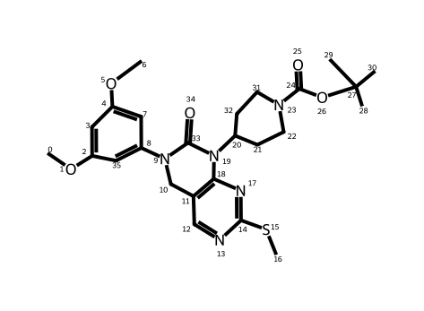 COc1cc(OC)cc(N2Cc3cnc(SC)nc3N(C3CCN(C(=O)OC(C)(C)C)CC3)C2=O)c1